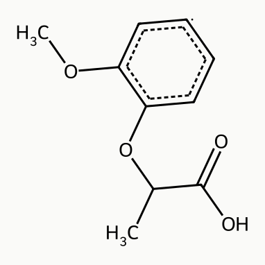 COc1c[c]ccc1OC(C)C(=O)O